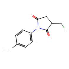 Cc1ccc(N2C(=O)CC(CBr)C2=O)cc1